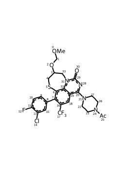 COCOC1CSc2c(-c3ccc(F)c(Cl)c3)c(C(F)(F)F)cc3c(N4CCN(C(C)=O)CC4)nc(=O)n(c23)C1